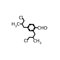 CC(CCl)Cc1ccc([C]=O)c(CC(C)CCl)c1